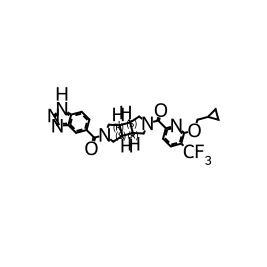 O=C(c1ccc2[nH]nnc2c1)N1C[C@@H]2[C@H](C1)[C@H]1CN(C(=O)c3ccc(C(F)(F)F)c(OCC4CC4)n3)C[C@@H]21